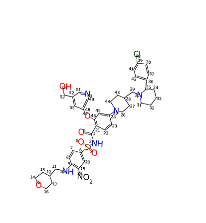 O=C(NS(=O)(=O)c1ccc(NCC2CCOCC2)c([N+](=O)[O-])c1)c1ccc(N2CCC(CN3CCCCC3c3ccc(Cl)cc3)CC2)cc1Oc1cncc(CO)c1